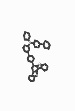 c1ccc(-c2ccc(N(c3ccccc3)c3cccc(-c4ccc(-c5cc6c7ccccc7sc6c6c5oc5ccccc56)cc4)c3)cc2)cc1